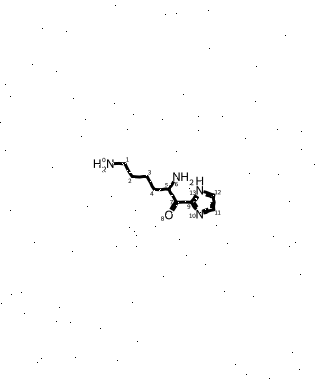 NCCCCC(N)C(=O)c1ncc[nH]1